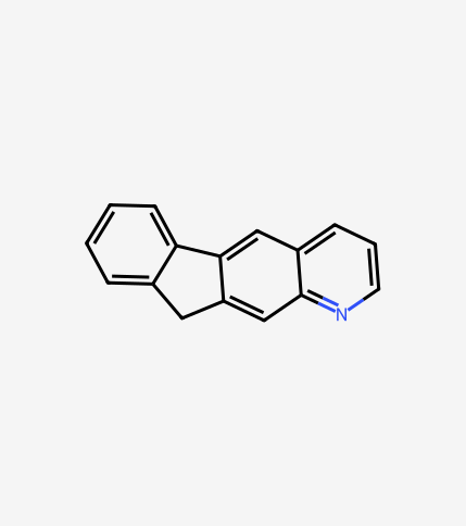 c1ccc2c(c1)Cc1cc3ncccc3cc1-2